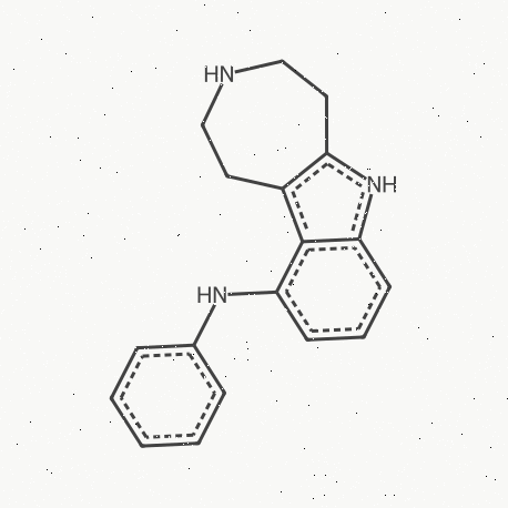 c1ccc(Nc2cccc3[nH]c4c(c23)CCNCC4)cc1